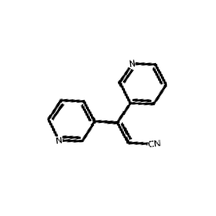 N#CC=C(c1cccnc1)c1cccnc1